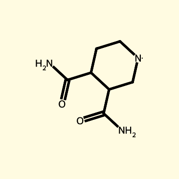 NC(=O)C1CC[N]CC1C(N)=O